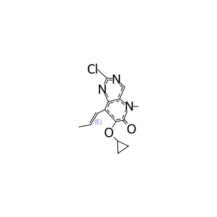 C/C=C/c1c(OC2CC2)c(=O)n(C)c2cnc(Cl)nc12